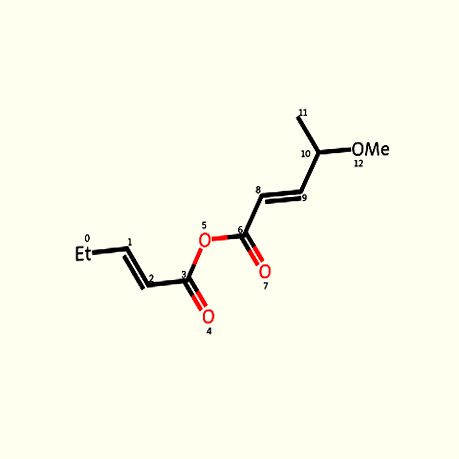 CCC=CC(=O)OC(=O)C=CC(C)OC